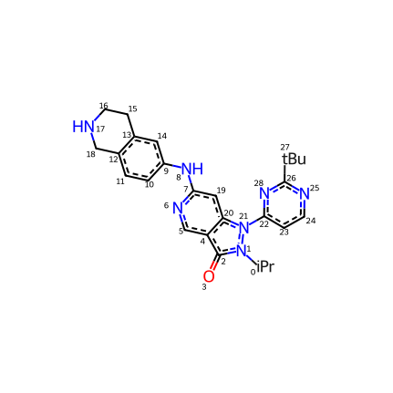 CC(C)n1c(=O)c2cnc(Nc3ccc4c(c3)CCNC4)cc2n1-c1ccnc(C(C)(C)C)n1